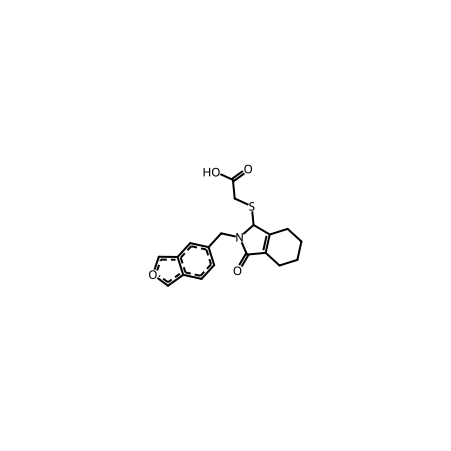 O=C(O)CSC1C2=C(CCCC2)C(=O)N1Cc1ccc2cocc2c1